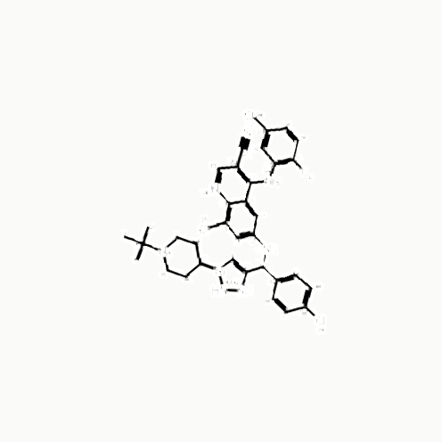 CC(C)(C)N1CCC(N2C=C([C@@H](Nc3cc(Cl)c4ncc(C#N)c(Nc5cc(Cl)ccc5F)c4c3)c3ccc(Cl)cc3)NN2)CC1